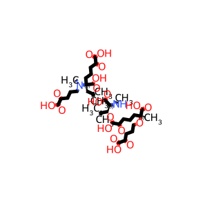 CC(C)C[C@@](CCCC(=O)C(=O)O)(C(=O)O)N(C)CCCC(=O)C(=O)O.CN[C@@H](CC(C)C)C(=O)O.C[C@@](CCCC(=O)C(=O)O)(OCCCC(=O)C(=O)O)C(=O)O